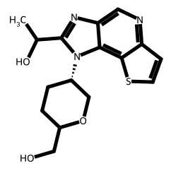 CC(O)c1nc2cnc3ccsc3c2n1[C@H]1CCC(CO)OC1